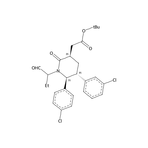 CCC(C=O)N1C(=O)[C@@H](CC(=O)OC(C)(C)C)C[C@H](c2cccc(Cl)c2)[C@H]1c1ccc(Cl)cc1